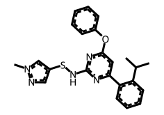 CC(C)c1ccccc1-c1cc(Oc2ccccc2)nc(NSc2cnn(C)c2)n1